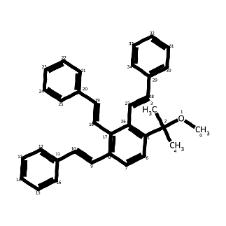 COC(C)(C)c1ccc(/C=C/c2ccccc2)c(/C=C/c2ccccc2)c1/C=C/c1ccccc1